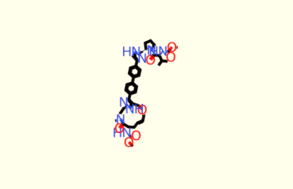 COC(=O)N[C@H]1C/C=C/COCc2[nH]c(nc2-c2ccc(-c3ccc(-c4c[nH]c([C@@H]5CCCN5C(=O)[C@@H](NC(=O)OC)C(C)C)n4)cc3)cc2)CN(C)C1=O